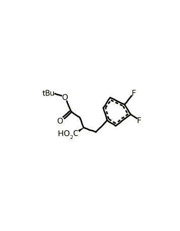 CC(C)(C)OC(=O)C[C@@H](Cc1ccc(F)c(F)c1)C(=O)O